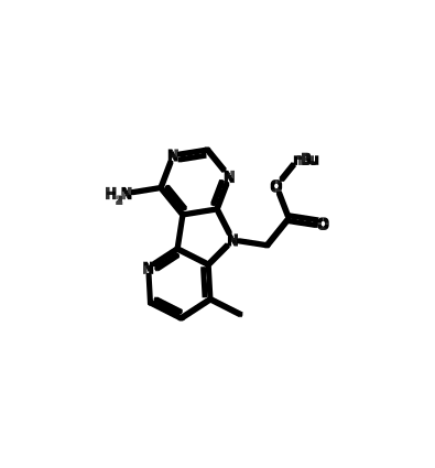 CCCCOC(=O)Cn1c2ncnc(N)c2c2nccc(C)c21